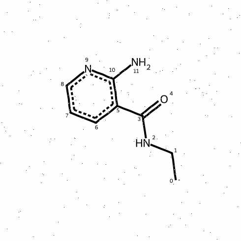 [CH2]CNC(=O)c1cccnc1N